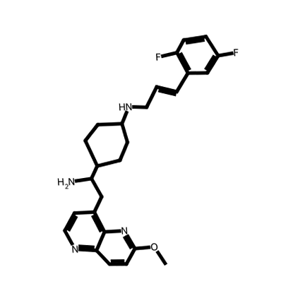 COc1ccc2nccc(CC(N)C3CCC(NCC=Cc4cc(F)ccc4F)CC3)c2n1